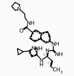 C/C=C/C(=N\C(=N)Nc1ccc2cc(C(=O)NCCN3CCCC3)ccc2c1)Nc1cc(C2CC2)n[nH]1